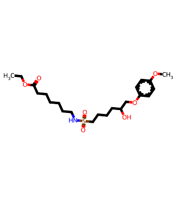 CCOC(=O)CCCCCCNS(=O)(=O)CCCCC(O)COc1ccc(OC)cc1